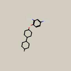 CCC1CCC(C2CCC(Oc3ccc(N)cc3N)CC2)CC1